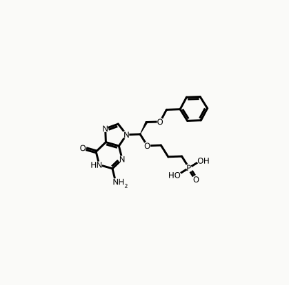 Nc1nc2c(ncn2[C@@H](COCc2ccccc2)OCCCP(=O)(O)O)c(=O)[nH]1